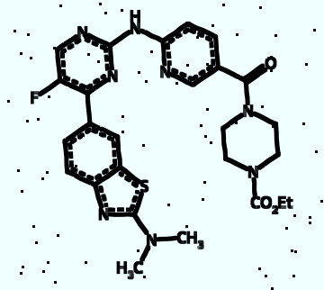 CCOC(=O)N1CCN(C(=O)c2ccc(Nc3ncc(F)c(-c4ccc5nc(N(C)C)sc5c4)n3)nc2)CC1